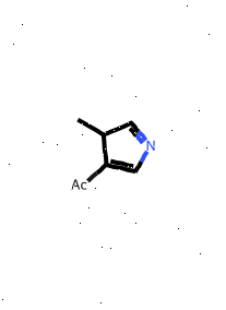 CC(=O)C1=CN=CC1C